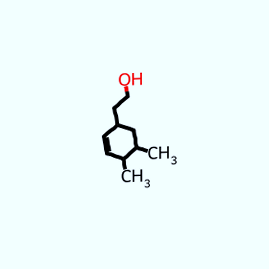 CC1C=CC(CCO)CC1C